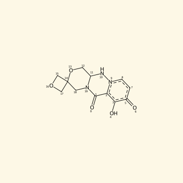 O=C1c2c(O)c(=O)ccn2NC2COC3(COC3)CN12